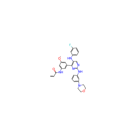 C=CC(=O)Nc1cc(OC)cc(-c2nc(Nc3cccc(N4CCOCC4)c3)ncc2Nc2cccc(F)c2)c1